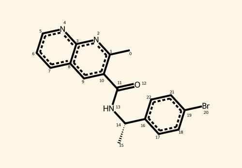 Cc1nc2ncccc2cc1C(=O)N[C@@H](C)c1ccc(Br)cc1